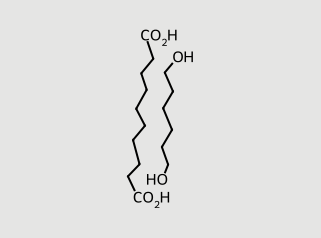 O=C(O)CCCCCCCCC(=O)O.OCCCCCCO